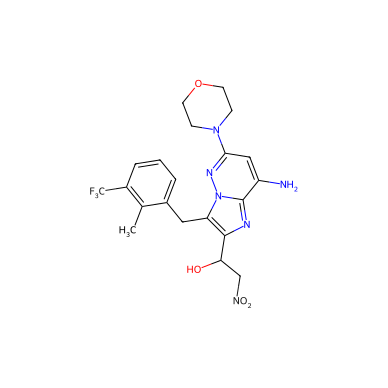 Cc1c(Cc2c(C(O)C[N+](=O)[O-])nc3c(N)cc(N4CCOCC4)nn23)cccc1C(F)(F)F